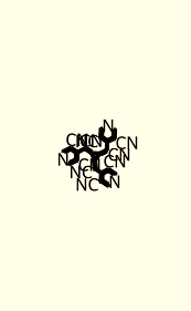 N#CC(=C1C(=C(C#N)c2c(C#N)cncc2C#N)C1=C(C#N)c1c(C#N)cncc1C#N)c1c(C#N)cncc1C#N